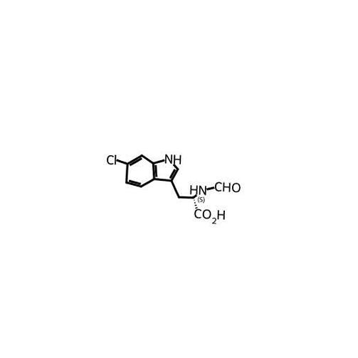 O=CN[C@@H](Cc1c[nH]c2cc(Cl)ccc12)C(=O)O